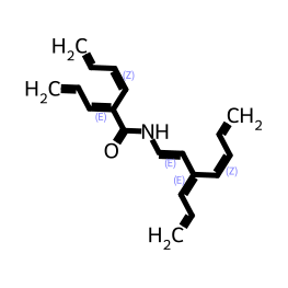 C=C\C=C/C(/C=C/NC(=O)C(/C=C\C=C)=C/C=C)=C\C=C